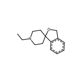 CCN1CCC2(CC1)OCc1ccccc12